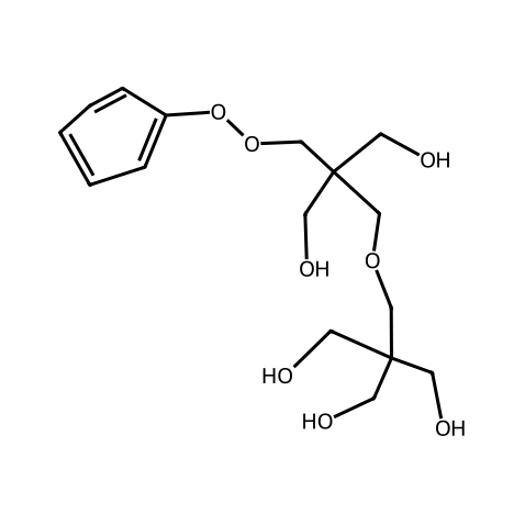 OCC(CO)(CO)COCC(CO)(CO)COOc1ccccc1